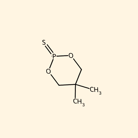 CC1(C)CO[P](=S)OC1